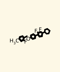 Cc1ccc(COc2ccc(-c3ccc(C4CCCCC4)c(F)c3F)cc2)c(F)c1